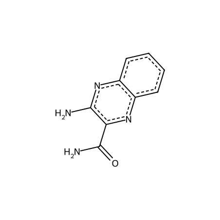 NC(=O)c1nc2ccccc2nc1N